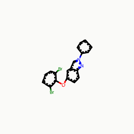 Brc1c[c]cc(Br)c1Oc1ccc2nn(-c3ccccc3)cc2c1